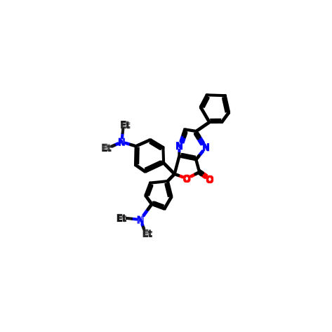 CCN(CC)c1ccc(C2(c3ccc(N(CC)CC)cc3)OC(=O)c3nc(-c4ccccc4)cnc32)cc1